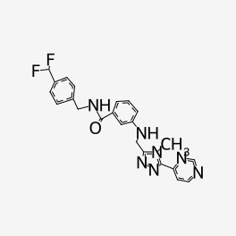 Cn1c(CNc2cccc(C(=O)NCc3ccc(C(F)F)cc3)c2)nnc1-c1ccncn1